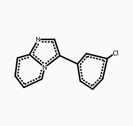 Clc1cccc(-c2cnc3ccccn23)c1